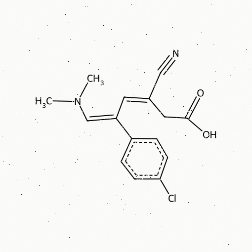 CN(C)C=C(C=C(C#N)CC(=O)O)c1ccc(Cl)cc1